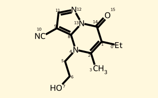 CCc1c(C)n(CCO)c2c(C#N)cnn2c1=O